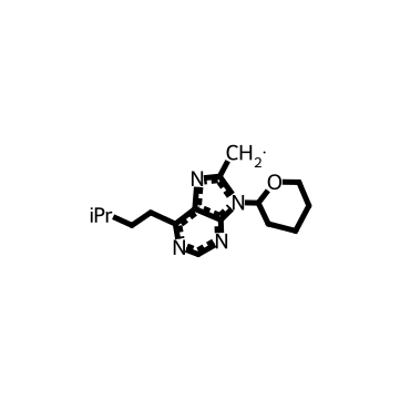 [CH2]c1nc2c(CCC(C)C)ncnc2n1C1CCCCO1